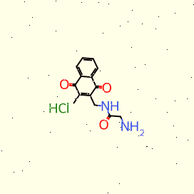 CC1=C(CNC(=O)CN)C(=O)c2ccccc2C1=O.Cl